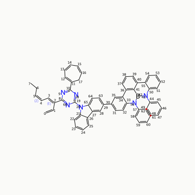 C=C/C(=C\C=C/CC)c1nc(C2=CC=CC=CC2)nc(-n2c3ccccc3c3cc(-c4ccc5c(c4)-c4cccc6c4B(N(c4ccccc4)c4ccccc4-6)N5c4ccccc4)ccc32)n1